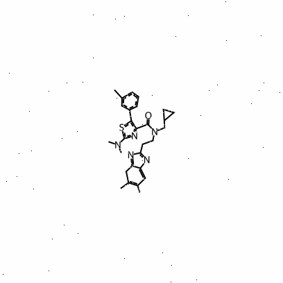 CC1=C(C)CC2=NC(CCN(CC3CC3)C(=O)c3nc(N(C)C)sc3-c3cccc(C)c3)=NC2=C1